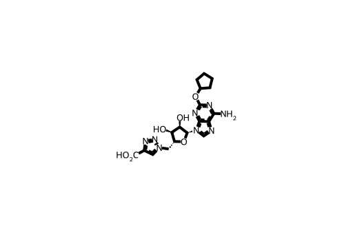 Nc1nc(OC2CCCC2)nc2c1ncn2[C@@H]1O[C@H](Cn2cc(C(=O)O)nn2)[C@@H](O)[C@H]1O